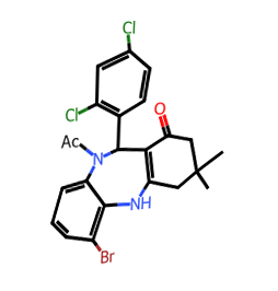 CC(=O)N1c2cccc(Br)c2NC2=C(C(=O)CC(C)(C)C2)C1c1ccc(Cl)cc1Cl